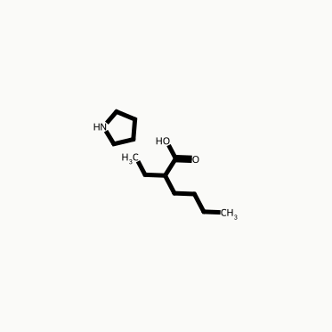 C1CCNC1.CCCCC(CC)C(=O)O